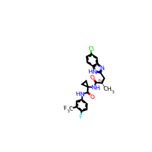 C[C@@H](Cc1nc2cc(Cl)ccc2[nH]1)C(=O)NC1(C(=O)Nc2ccc(F)c(C(F)(F)F)c2)CC1